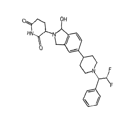 O=C1CCC(N2Cc3cc(C4CCN(C(c5ccccc5)C(F)F)CC4)ccc3C2O)C(=O)N1